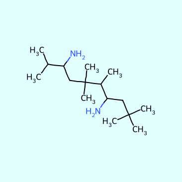 CC(C)C(N)CC(C)(C)C(C)C(N)CC(C)(C)C